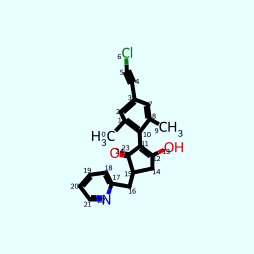 Cc1cc(C#CCl)cc(C)c1C1=C(O)CC(Cc2ccccn2)C1=O